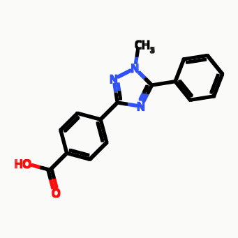 Cn1nc(-c2ccc(C(=O)O)cc2)nc1-c1ccccc1